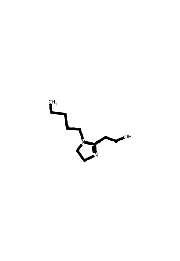 CCCCCN1CCN=C1CCO